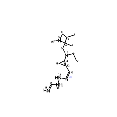 CCN(CC1(C)C(C)CN1C)C1=C(/C=C\NNC=N)C1